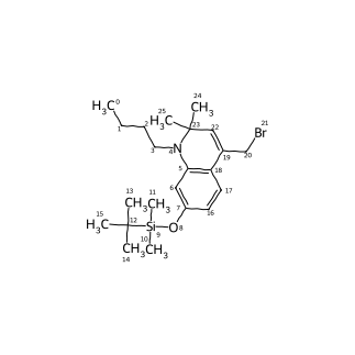 CCCCN1c2cc(O[Si](C)(C)C(C)(C)C)ccc2C(CBr)=CC1(C)C